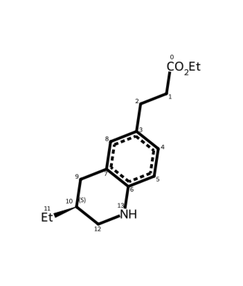 CCOC(=O)CCc1ccc2c(c1)C[C@H](CC)CN2